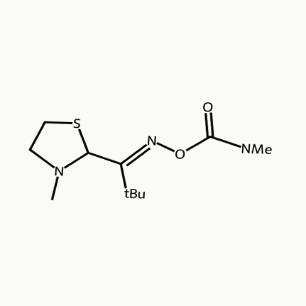 CNC(=O)ON=C(C1SCCN1C)C(C)(C)C